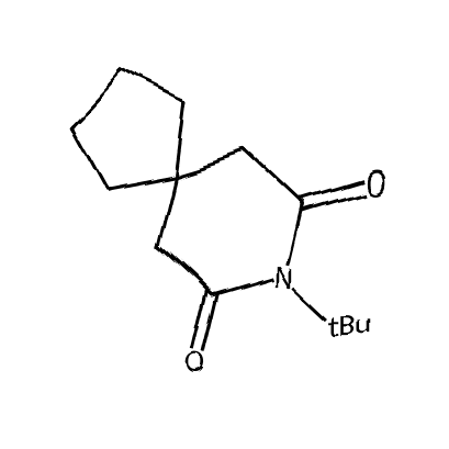 CC(C)(C)N1C(=O)CC2(CCCC2)CC1=O